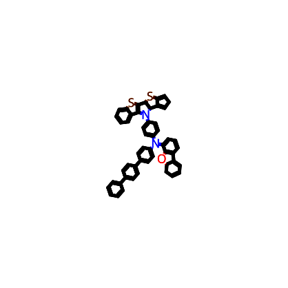 C1=CCC2Oc3c(cccc3N(c3ccc(-c4ccc(-c5ccccc5)cc4)cc3)c3ccc(N4c5c(sc6ccccc56)C5SC6=CCC=C6C54)cc3)C2=C1